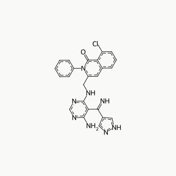 N=C(c1cn[nH]c1)c1c(N)ncnc1NCc1cc2cccc(Cl)c2c(=O)n1-c1ccccc1